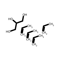 C=CC.C=CC.C=CC.C=CC.OCC(O)CO